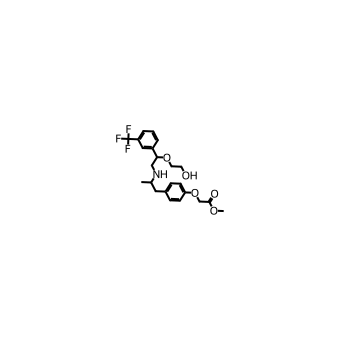 COC(=O)COc1ccc(CC(C)NCC(OCCO)c2cccc(C(F)(F)F)c2)cc1